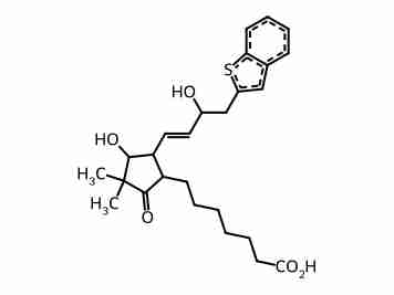 CC1(C)C(=O)C(CCCCCCC(=O)O)C(C=CC(O)Cc2cc3ccccc3s2)C1O